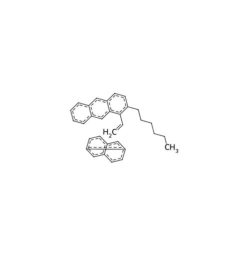 C=Cc1c(CCCCCC)ccc2cc3ccccc3cc12.c1cc2cc3ccc2cc13